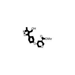 COC(=O)[C@H]1COC[C@H](Oc2ccc(-c3onc(C)c3CO)cc2)C1